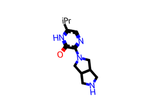 CC(C)c1cnc(N2CC3CNCC3C2)c(=O)[nH]1